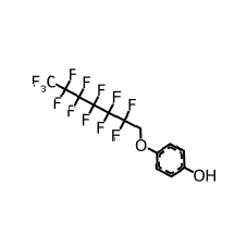 Oc1ccc(OCC(F)(F)C(F)(F)C(F)(F)C(F)(F)C(F)(F)C(F)(F)F)cc1